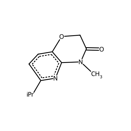 CC(C)c1ccc2c(n1)N(C)C(=O)CO2